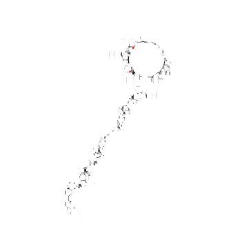 CO[C@H]1C[C@@H]2CC[C@@H](C)[C@@](O)(O2)C(=O)C(=O)N2CCCC[C@H]2C(=O)O[C@H]([C@H](C)C[C@@H]2CC[C@@H](OC(=O)NCc3cnc(N4CCN(C(=O)CCOCCN5CCN(c6ncc(C(=O)NCCS(=O)(=O)c7ccc(C(=O)N8CCOc9ccc(-c%10ccc(N)nc%10)cc9C8)c(C)c7F)cn6)CC5)CC4)nc3)[C@H](OC)C2)C[C@@H](O)[C@H](C)/C=C(\C)[C@@H](O)[C@@H](OC)C(=O)[C@H](C)C[C@H](C)/C=C/C=C/C=C/1C